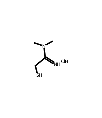 CN(C)C(=N)CS.Cl